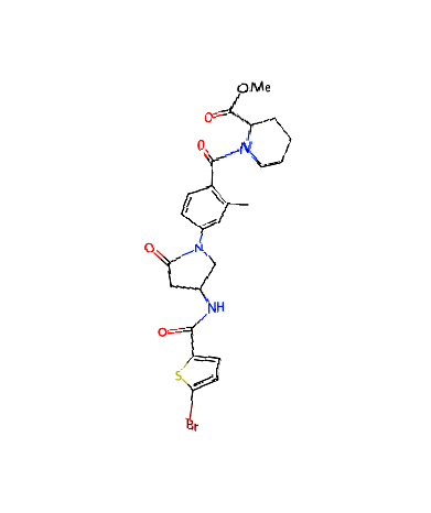 COC(=O)C1CCCCN1C(=O)c1ccc(N2CC(NC(=O)c3ccc(Br)s3)CC2=O)cc1C